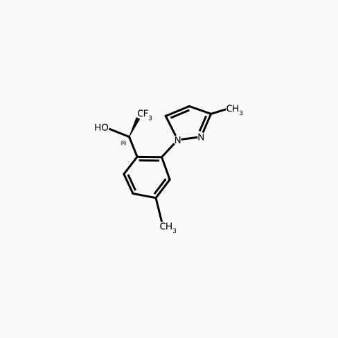 Cc1ccc([C@@H](O)C(F)(F)F)c(-n2ccc(C)n2)c1